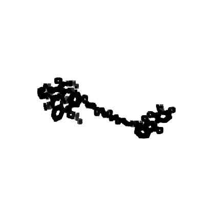 COc1cc(Nc2nc(N[C@H]3CCCC[C@H]3N)n3ccnc3c2C(N)=O)cc(OCCOCCOCCOCCNc2cccc3c2C(=O)N(C2CCC(=O)NC2=O)C3=O)c1